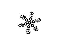 C=C(Oc1ncccc1C)c1ccc(-c2c(-c3ccc(-c4nc5cccnc5o4)cc3)c(-c3ccc(-c4nc5cccnc5o4)cc3)c(-c3ccc(-c4nc5cccnc5o4)cc3)c(-c3ccc(-c4nc5cccnc5o4)cc3)c2-c2ccc(-c3nc4cccnc4o3)cc2)cc1